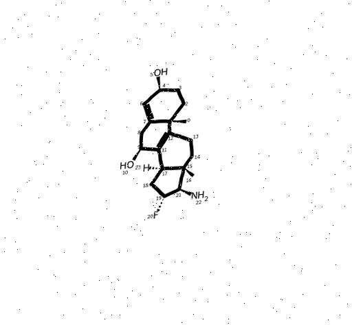 C[C@]12CC[C@H](O)C=C1C[C@H](O)C1=C2CC[C@@]2(C)[C@H]1C[C@@H](F)[C@@H]2N